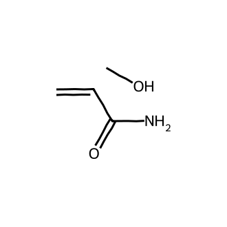 C=CC(N)=O.CO